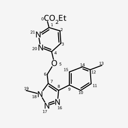 CCOC(=O)c1ccc(OCc2c(-c3ccc(C)cc3)nnn2C)nn1